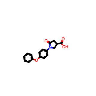 O=C(O)C1CC(=O)N(c2ccc(Oc3ccccc3)cc2)C1